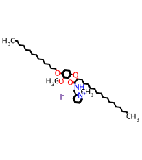 CCCCCCCCCCCCCCCCC(Oc1ccc(OCCCCCCCCCCCCCC)c(OC)c1)C(=O)NCc1cccc[n+]1C.[I-]